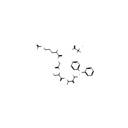 CC(=O)NC(CCCNC(=N)N)C(=O)NCC(=O)NC(CC(=O)O)C(=O)NC(C(=O)C(N)SN(c1ccccc1)c1ccccc1)C(C)C.O=C(O)C(F)(F)F